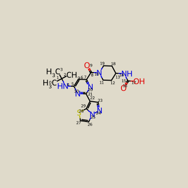 CC(C)(C)Nc1cc(C(=O)N2CCC(NC(=O)O)CC2)nc(-c2cnn3ccsc23)n1